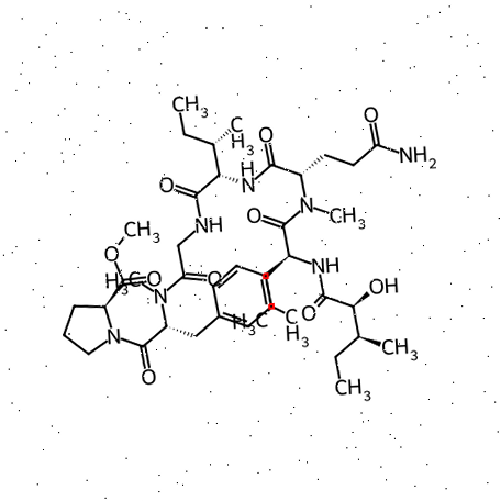 CC[C@H](C)[C@H](O)C(=O)N[C@@H](CC(C)C)C(=O)N(C)[C@@H](CCC(N)=O)C(=O)N[C@H](C(=O)NCC(=O)N(C)[C@H](Cc1ccccc1)C(=O)N1CCC[C@H]1C(=O)OC)[C@@H](C)CC